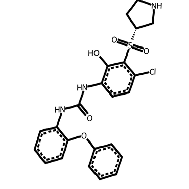 O=C(Nc1ccccc1Oc1ccccc1)Nc1ccc(Cl)c(S(=O)(=O)[C@@H]2CCNC2)c1O